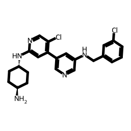 N[C@H]1CC[C@H](Nc2cc(-c3cncc(NCc4cccc(Cl)c4)c3)c(Cl)cn2)CC1